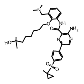 CN(C)Cc1cccc(NC(=O)c2nc(-c3ccc(S(=O)(=O)C4(C)CC4)cc3)cnc2N)c1OCCCCCCC(C)(C)O